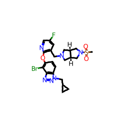 CS(=O)(=O)N1C[C@H]2CN(Cc3cc(F)cnc3Oc3ccc4c(nnn4CC4CC4)c3Br)C[C@H]2C1